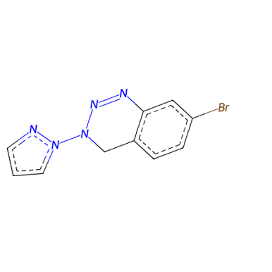 Brc1ccc2c(c1)N=NN(n1cccn1)C2